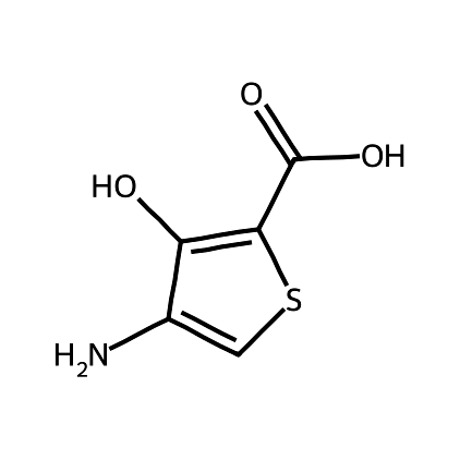 Nc1csc(C(=O)O)c1O